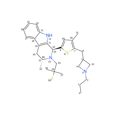 CCCN1CC(Cc2sc([C@@H]3c4[nH]c5ccccc5c4C[C@@H](C)N3CC(C)(C)F)cc2C)C1